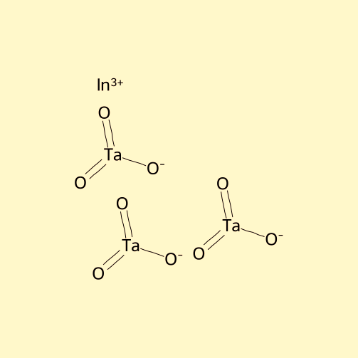 [In+3].[O]=[Ta](=[O])[O-].[O]=[Ta](=[O])[O-].[O]=[Ta](=[O])[O-]